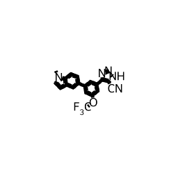 Cn1ccc2cc(-c3cc(OC(F)(F)F)cc(-c4nn[nH]c4C#N)c3)ccc21